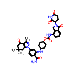 CC1(C)CC(=O)c2c(C(F)(F)F)nn(-c3ccc(C(N)=O)c(N[C@H]4CC[C@H](OC(=O)Nc5cccc6c5CN(C5CCC(=O)NC5=O)C6=O)CC4)c3)c2C1